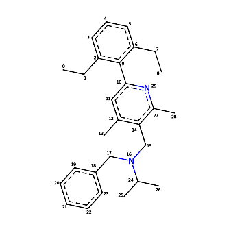 CCc1cccc(CC)c1-c1cc(C)c(CN(Cc2ccccc2)C(C)C)c(C)n1